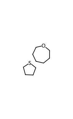 C1CCCOCC1.C1CCSC1